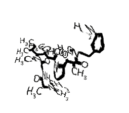 CCC(C)C(C(CC(=O)N1CCCC1C(OC)C(C)C(=O)N(C)CCc1cccc(N)c1)OC)N(C)C(=O)CNC(=O)C(C)N(C)C